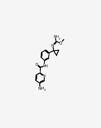 CO/C(N)=N\C1(c2cccc(NC(=O)c3ccc(N)cn3)c2)CC1